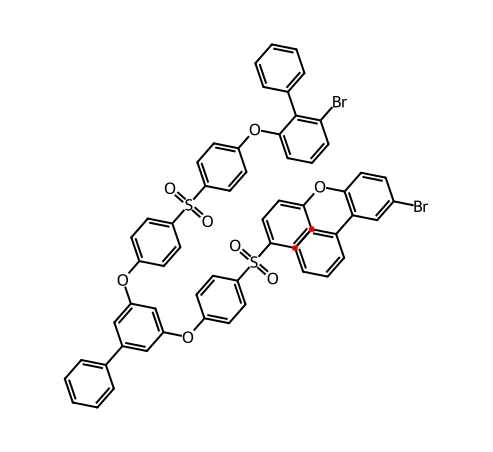 O=S(=O)(c1ccc(Oc2cc(Oc3ccc(S(=O)(=O)c4ccc(Oc5cccc(Br)c5-c5ccccc5)cc4)cc3)cc(-c3ccccc3)c2)cc1)c1ccc(Oc2ccc(Br)cc2-c2ccccc2)cc1